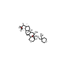 CNC1(CO[C@H]2[C@H](OC)C[C@@]34COC[C@]2(C)[C@@H]3CC[C@H]2C4=CC[C@@]3(C)[C@H](C(=O)O)[C@@](C)([C@H](C)C(C)C)CC[C@]23C)CCOCC1